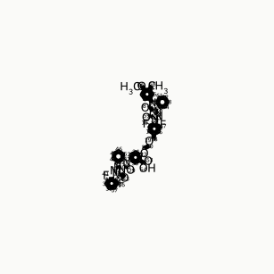 COc1ccc(N(C(=O)n2nnn(-c3c(F)cc(COCCOc4ccc(N(C(=O)n5nnn(-c6c(F)cccc6F)c5=O)C5CCCCC5)cc4C(=O)O)cc3F)c2=O)C2CCCCC2)cc1C